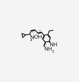 CCC1=CC(=N)/C(=C\N)C=C1/C=C/C=C\C(C1CC1)N(C)O